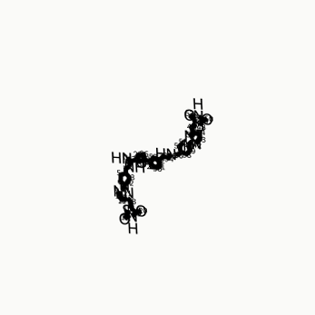 N=C(NCC1CCN(c2nccc(/C=C3\SC(=O)NC3=O)n2)CC1)c1ccc(-c2cccc(CCNCC3CCN(c4nccc(/C=C5\SC(=O)NC5=O)n4)CC3)c2)o1